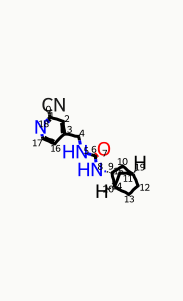 N#Cc1cc(CNC(=O)N[C@@H]2C[C@H]3CC[C@@H]2C3)ccn1